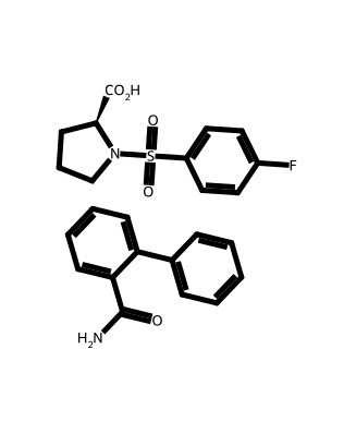 NC(=O)c1ccccc1-c1ccccc1.O=C(O)[C@@H]1CCCN1S(=O)(=O)c1ccc(F)cc1